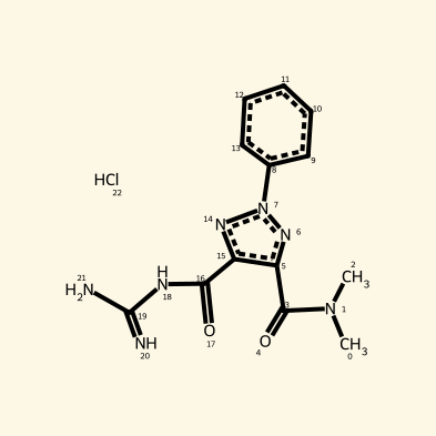 CN(C)C(=O)c1nn(-c2ccccc2)nc1C(=O)NC(=N)N.Cl